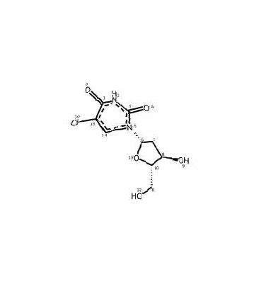 O=c1[nH]c(=O)n([C@@H]2C[C@@H](O)[C@H](CO)O2)cc1Cl